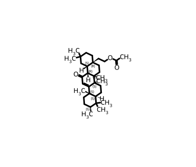 CC(=O)OCC[C@]12CCC(C)(C)C[C@H]1[C@H]1C(=O)C=C3[C@@]4(C)CC[C@H](C)C(C)(C)[C@@H]4CC[C@@]3(C)[C@]1(C)CC2